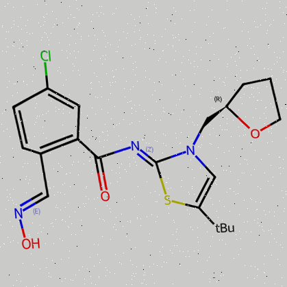 CC(C)(C)c1cn(C[C@H]2CCCO2)/c(=N/C(=O)c2cc(Cl)ccc2/C=N/O)s1